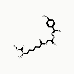 C=C(CNC(=O)CCCCCN(C)C(=O)OC(C)(C)C)O/N=C(/c1ccc(CCCCCCCCCC)cc1)C(C)CC